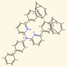 C1=CC2C3C=CC1c1cc(-c4cccc(N(c5ccc(-c6ccccc6)cc5)c5cccc(-c6ccc7c(c6)C6C=CC8C(C=C6)C78)n5)n4)ccc1C23